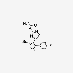 CC(C)(C)n1cnc(-c2ccc(F)cc2)c1-c1ccnc(OC(N)=O)n1